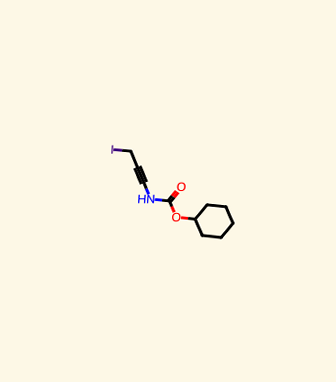 O=C(NC#CCI)OC1CCCCC1